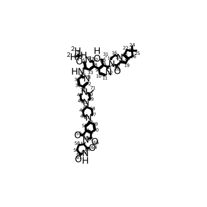 [2H]C([2H])([2H])Oc1ncc(-c2ccnc(N3CCn4c(cc5c4CC(C)(C)C5)C3=O)c2[C@@H](C)O)cc1Nc1ccc(N2CCN(C3CCN(c4ccc5c(c4)C(=O)N(C4CCC(=O)NC4=O)C5=O)CC3)C[C@@H]2C)cn1